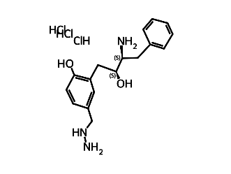 Cl.Cl.Cl.NNCc1ccc(O)c(C[C@H](O)[C@@H](N)Cc2ccccc2)c1